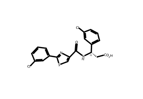 O=C(O)C[C@H](NC(=O)c1csc(-c2cccc(Cl)c2)n1)c1cccc(Cl)c1